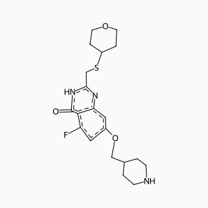 O=c1[nH]c(CSC2CCOCC2)nc2cc(OCC3CCNCC3)cc(F)c12